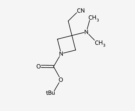 CN(C)C1(CC#N)CN(C(=O)OC(C)(C)C)C1